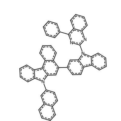 c1ccc(-c2nc(-n3c4ccccc4c4ccc(-c5cc6c(c7ccccc57)c5ccccc5n6-c5ccc6ccccc6c5)cc43)nc3ccccc23)cc1